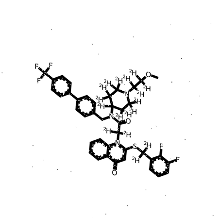 [2H]C([2H])(Sc1cc(=O)c2ccccc2n1C([2H])([2H])C(=O)N(Cc1ccc(-c2ccc(C(F)(F)F)cc2)cc1)C1([2H])C([2H])([2H])C([2H])([2H])N(C([2H])([2H])C([2H])([2H])OC)C([2H])([2H])C1([2H])[2H])c1cccc(F)c1F